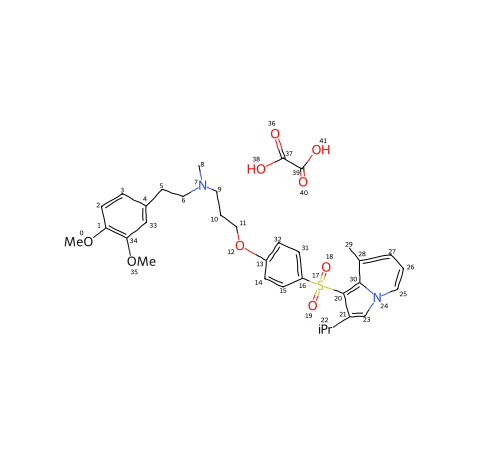 COc1ccc(CCN(C)CCCOc2ccc(S(=O)(=O)c3c(C(C)C)cn4cccc(C)c34)cc2)cc1OC.O=C(O)C(=O)O